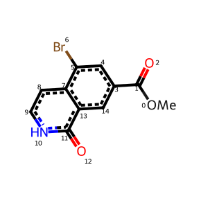 COC(=O)c1cc(Br)c2cc[nH]c(=O)c2c1